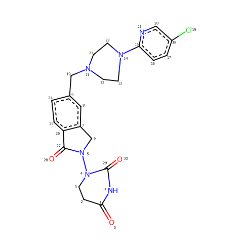 O=C1CCN(N2Cc3cc(CN4CCN(c5ccc(Cl)cn5)CC4)ccc3C2=O)C(=O)N1